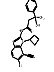 C[C@@](O)(CC(=O)Nc1nc2ccc(Cl)c(C#N)c2n1C1CCC1)c1ccccc1